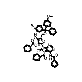 COc1ccc(C(OC[C@H]2O[C@@H](n3c(=O)n(C(=O)c4ccccc4)c4c(NC(=O)c5ccccc5)ncnc43)[C@H](OC(=O)c3ccccc3)C2O)(c2ccccc2)c2ccc(OC)cc2)cc1